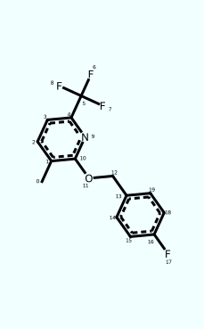 Cc1ccc(C(F)(F)F)nc1OCc1ccc(F)cc1